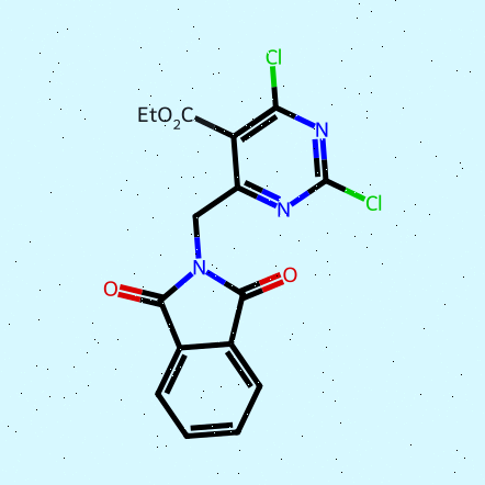 CCOC(=O)c1c(Cl)nc(Cl)nc1CN1C(=O)c2ccccc2C1=O